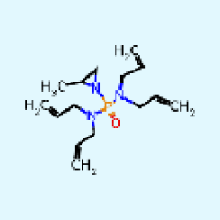 C=CCN(CC=C)P(=O)(N(CC=C)CC=C)N1CC1C